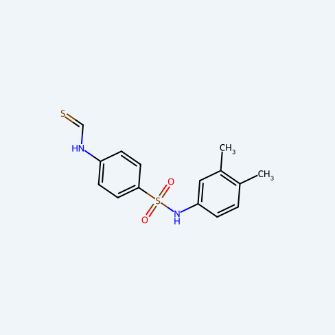 Cc1ccc(NS(=O)(=O)c2ccc(NC=S)cc2)cc1C